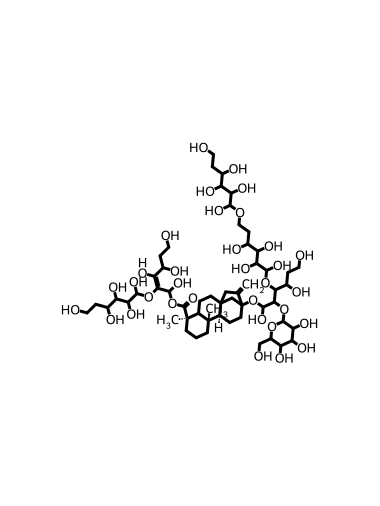 C=C1CC23CCC4[C@](C)(C(=O)OC(O)/C(OC(O)C(O)C(O)C(O)CCO)=C(/O)C(O)CCO)CCC[C@@]4(C)[C@@H]2CCC1(OC(O)C(OC1OC(CO)C(O)C(O)C1O)C(OC(O)C(O)C(O)C(O)CCOC(O)C(O)C(O)C(O)CCO)C(O)CCO)C3